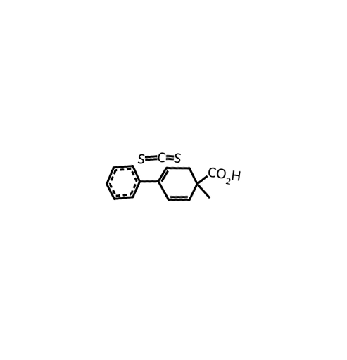 CC1(C(=O)O)C=CC(c2ccccc2)=CC1.S=C=S